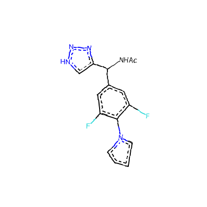 CC(=O)NC(c1cc(F)c(-n2cccc2)c(F)c1)c1c[nH]nn1